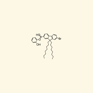 CCCCCCCCC1(CCCCCCCC)c2cc(Br)ccc2-c2ccc(B(O)Oc3ccccc3O)cc21